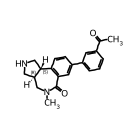 CC(=O)c1cccc(-c2ccc3c(c2)C(=O)N(C)C[C@H]2CNC[C@H]32)c1